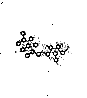 Cc1cc(C)c(-c2cc3c4c(c2)N(c2cc(-c5ccccc5)cc(-c5cccc(CC(C)(C)c6cccc(N7c8cc(C(C)(C)C)ccc8B8c9ccc(C(C)(C)C)cc9N(c9cccc(C(C)(C)C)c9)c9cc(-c%10c(C)cc(C)cc%10C)cc7c98)c6)c5)c2)c2ccc(C)cc2B4c2cc(C)ccc2N3c2cc(-c3ccccc3)cc(-c3ccccc3)c2)c(C)c1